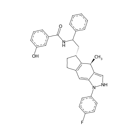 C[C@H]1C2=CNN(c3ccc(F)cc3)C2=CC2=C1[C@@H](CC(NC(=O)c1cccc(O)c1)c1ccccc1)CC2